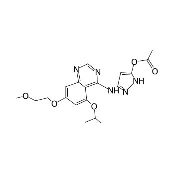 COCCOc1cc(OC(C)C)c2c(Nc3cc(OC(C)=O)[nH]n3)ncnc2c1